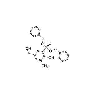 Cc1cc(CO)cc(P(=O)(OCc2ccccc2)OCc2ccccc2)c1O